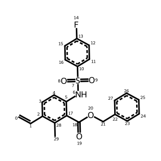 C=Cc1ccc(NS(=O)(=O)c2ccc(F)cc2)c(C(=O)OCc2ccccc2)c1C